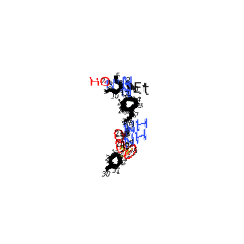 CCc1nc2c(C)[n+](O)c(C)cc2n1-c1ccc(CCNC(=O)NS(=O)(=O)c2ccc(C)cc2)cc1